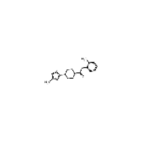 Cc1ccccc1CC(=O)N1CCC(c2nc(N)cs2)CC1